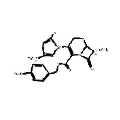 CCOC(=O)C1=C[SH](C2=C(C(=O)OCc3ccc(OC)cc3)N3C(=O)[C@@H](N)C3SC2)C(Br)=C1